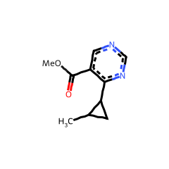 COC(=O)c1cncnc1C1CC1C